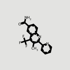 Cc1c(-c2ccccn2)nc2ccc(C(N)=O)cc2c1C(F)(F)F